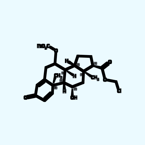 CCOC(=O)OC1CC2=CC(=O)C=C[C@]2(C)[C@@H]2[C@@H]1[C@@H]1CC[C@@H](C(=O)OCCl)[C@@]1(C)C[C@@H]2O